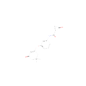 CC1(C)CC(=O)C=C(Oc2cccc(NC(=O)C3CC3=O)c2)C1